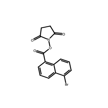 O=C(ON1C(=O)CCC1=O)c1cccc2c(Br)cccc12